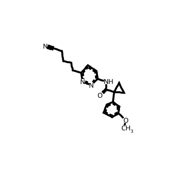 COc1cccc(C2(C(=O)Nc3ccc(CCCCC#N)nn3)CC2)c1